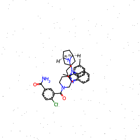 Cc1cccc(C2(CCN3[C@@H]4CC[C@H]3CC(n3c(C)nc5ccccc53)C4)CCN(C(=O)c3cc(C(N)=O)ccc3Cl)CC2)c1